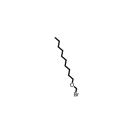 CCCCCCCCCCOCBr